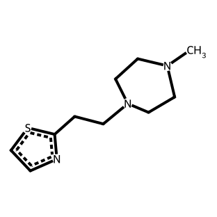 CN1CCN(CCc2nccs2)CC1